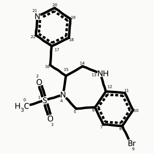 CS(=O)(=O)N1Cc2cc(Br)ccc2NCC1Cc1cccnc1